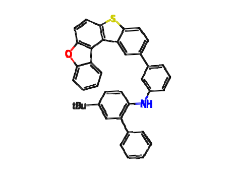 CC(C)(C)c1ccc(Nc2cccc(-c3ccc4sc5ccc6oc7ccccc7c6c5c4c3)c2)c(-c2ccccc2)c1